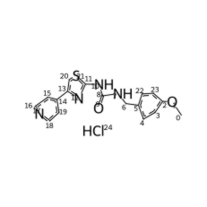 COc1ccc(CNC(=O)Nc2nc(-c3ccncc3)cs2)cc1.Cl